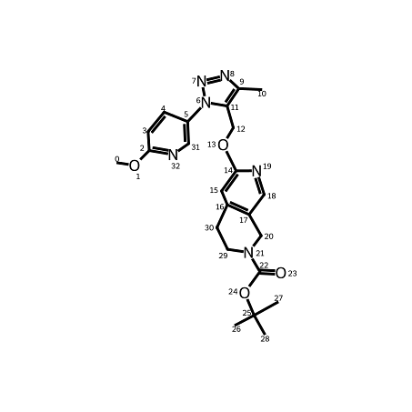 COc1ccc(-n2nnc(C)c2COc2cc3c(cn2)CN(C(=O)OC(C)(C)C)CC3)cn1